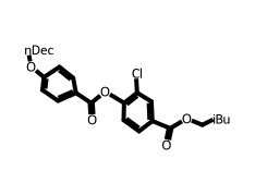 CCCCCCCCCCOc1ccc(C(=O)Oc2ccc(C(=O)OCC(C)CC)cc2Cl)cc1